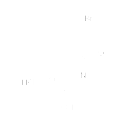 CCCN(C(=O)O)C(=O)c1ccccc1Br.Cl